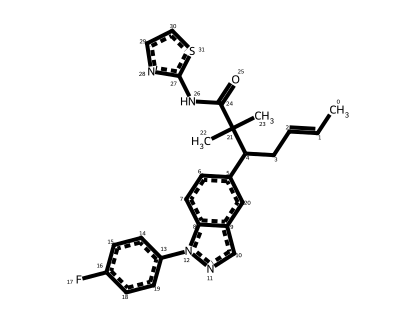 C/C=C/CC(c1ccc2c(cnn2-c2ccc(F)cc2)c1)C(C)(C)C(=O)Nc1nccs1